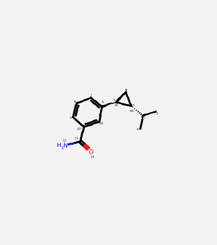 CC(C)[C@H]1C[C@@H]1c1cccc(C(N)=O)c1